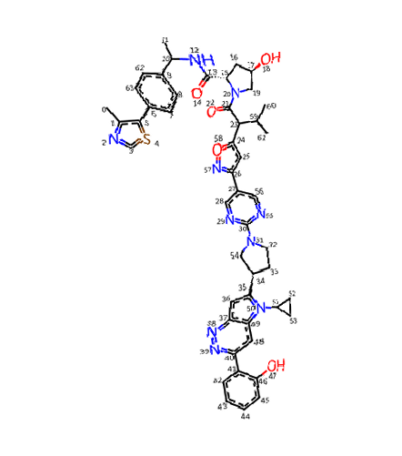 Cc1ncsc1-c1ccc(C(C)NC(=O)[C@@H]2C[C@@H](O)CN2C(=O)C(c2cc(-c3cnc(N4CC[C@@H](c5cc6nnc(-c7ccccc7O)cc6n5C5CC5)C4)nc3)no2)C(C)C)cc1